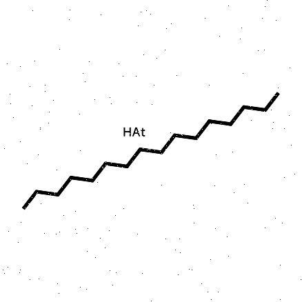 CCCCCCCCCCCCCCCC.[AtH]